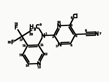 CN(c1ncc(C#N)c(Cl)n1)c1cnccc1C(F)(F)F